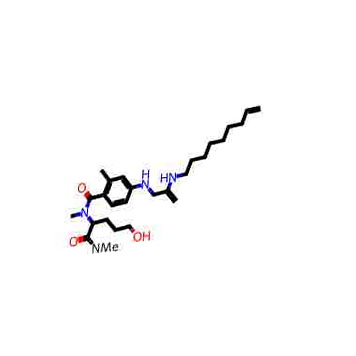 C=CCCCCCCCNC(=C)CNc1ccc(C(=O)N(C)C(CCCO)C(=O)NC)c(C)c1